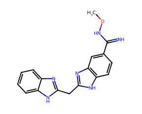 CONC(=N)c1ccc2[nH]c(Cc3nc4ccccc4[nH]3)nc2c1